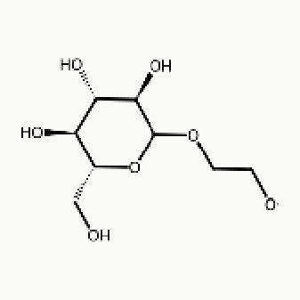 [O]CCOC1O[C@H](CO)[C@@H](O)[C@H](O)[C@H]1O